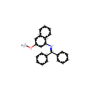 COc1cc(N=C(c2ccccc2)c2ccccc2)c2ccccc2c1